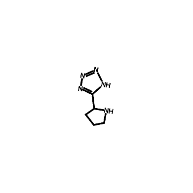 C1CNC(c2nnn[nH]2)C1